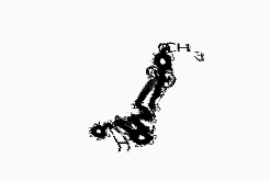 COc1ccc(S(=O)(=O)N2CCN(CCc3nc(NCc4ccccc4)c4ccccc4n3)CC2)cc1